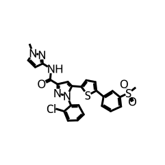 Cn1ccc(NC(=O)c2cc(-c3ccc(-c4cccc(S(C)(=O)=O)c4)s3)n(-c3ccccc3Cl)n2)n1